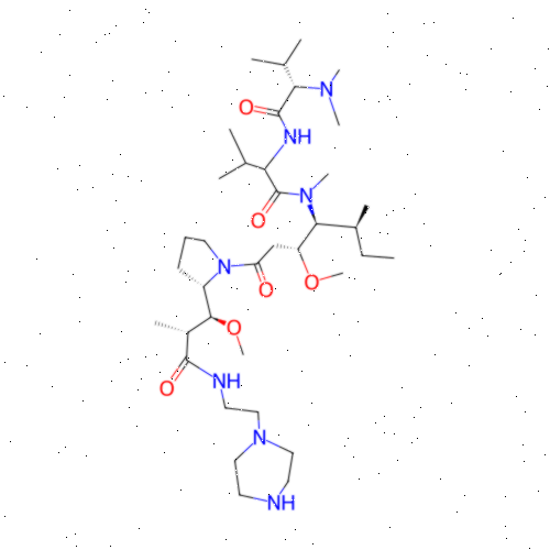 CC[C@H](C)[C@@H]([C@@H](CC(=O)N1CCC[C@H]1[C@@H](OC)[C@@H](C)C(=O)NCCN1CCNCC1)OC)N(C)C(=O)C(NC(=O)[C@H](C(C)C)N(C)C)C(C)C